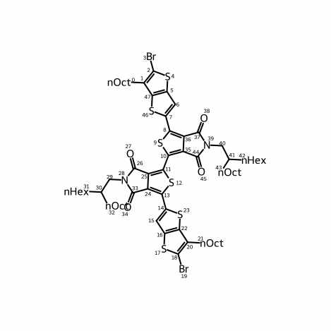 CCCCCCCCc1c(Br)sc2cc(-c3sc(-c4sc(-c5cc6sc(Br)c(CCCCCCCC)c6s5)c5c4C(=O)N(CC(CCCCCC)CCCCCCCC)C5=O)c4c3C(=O)N(CC(CCCCCC)CCCCCCCC)C4=O)sc12